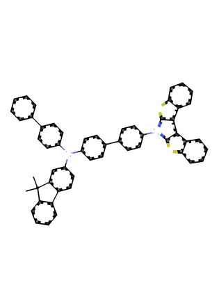 CC1(C)c2ccccc2-c2ccc(N(c3ccc(-c4ccccc4)cc3)c3ccc(-c4ccc(-n5c6sc7ccccc7c6c6c7ccccc7sc65)cc4)cc3)cc21